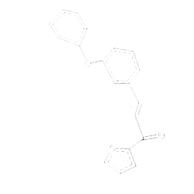 O=C(/C=C/c1cccc(Oc2ccccc2)c1)c1cccs1